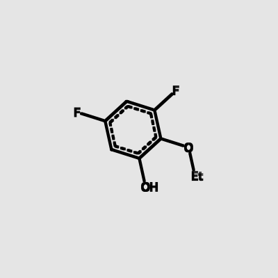 CCOc1c(O)cc(F)cc1F